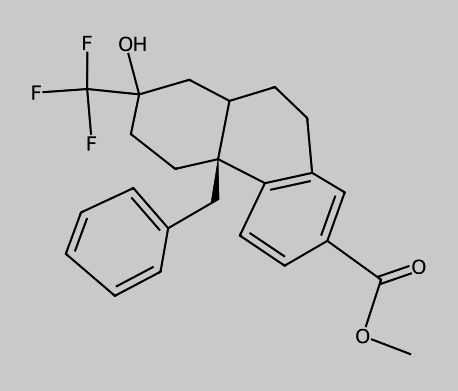 COC(=O)c1ccc2c(c1)CCC1CC(O)(C(F)(F)F)CC[C@@]21Cc1ccccc1